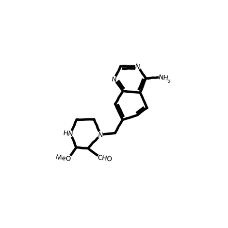 COC1NCCN(Cc2ccc3c(N)ncnc3c2)C1C=O